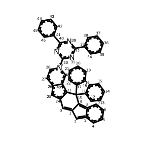 C1=C2C=c3ccccc3=C2C(c2ccccc2)(c2ccccc2)c2c1cc1ccn(-c3nc(-c4ccccc4)nc(-c4ccccc4)n3)cc2-1